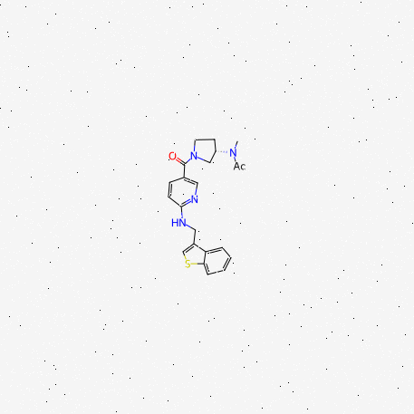 CC(=O)N(C)[C@H]1CCN(C(=O)c2ccc(NCc3csc4ccccc34)nc2)C1